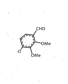 COc1c([O])ccc(C=O)c1OC